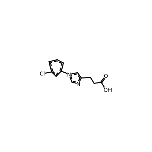 O=C(O)CCc1cn(-c2cccc(Cl)c2)cn1